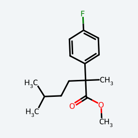 COC(=O)C(C)(CCC(C)C)c1ccc(F)cc1